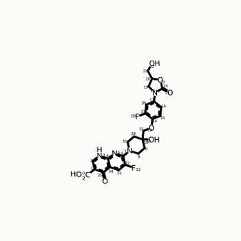 O=C(O)c1c[nH]c2nc(N3CCC(O)(COc4ccc(N5CC(CO)OC5=O)cc4F)CC3)c(F)cc2c1=O